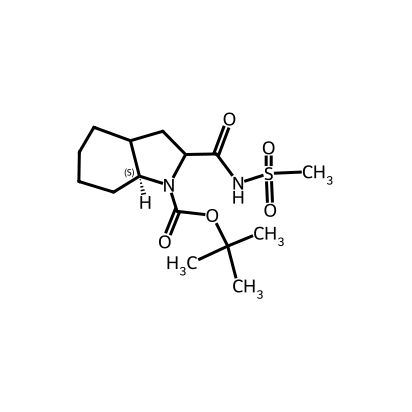 CC(C)(C)OC(=O)N1C(C(=O)NS(C)(=O)=O)CC2CCCC[C@@H]21